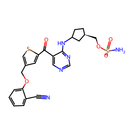 N#Cc1ccccc1OCc1csc(C(=O)c2cncnc2NC2CC[C@@H](COS(N)(=O)=O)C2)c1